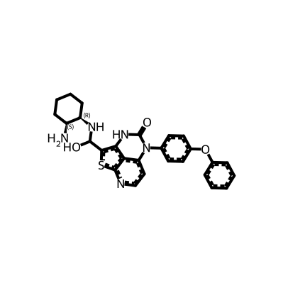 N[C@H]1CCCC[C@H]1NC(O)c1sc2nccc3c2c1NC(=O)N3c1ccc(Oc2ccccc2)cc1